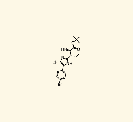 CC[C@@H](C(=N)C(=O)OC(C)(C)C)c1nc(Cl)c(-c2ccc(Br)cc2)[nH]1